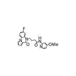 COc1ccnc(NC(=O)CCCn2c(=O)c3cccn3c3ccc(F)cc32)c1